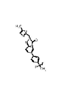 Cc1cnc(Cn2nc3ccc(-c4ccc(C(C)(F)F)cc4)cn3c2=O)o1